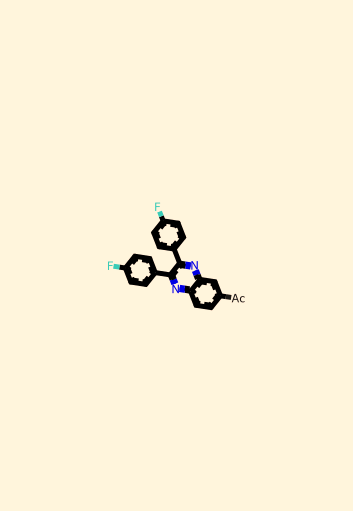 CC(=O)c1ccc2nc(-c3ccc(F)cc3)c(-c3ccc(F)cc3)nc2c1